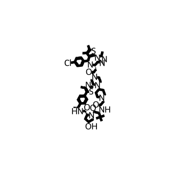 Cc1ncsc1-c1ccc([C@H](C)NC(=O)[C@@H]2C[C@@H](O)CN2C(=O)C(NC(=O)CN2CCC(N3CCN(C(=O)C[C@@H]4N=C(c5ccc(Cl)cc5)c5c(sc(C)c5C)-n5c(C)nnc54)CC3)CC2)C(C)(C)C)cc1